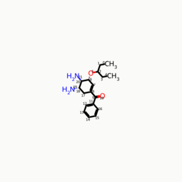 CCC(CC)O[C@@H]1C=C(C(=O)c2ccccc2)C[C@H](N)[C@H]1N